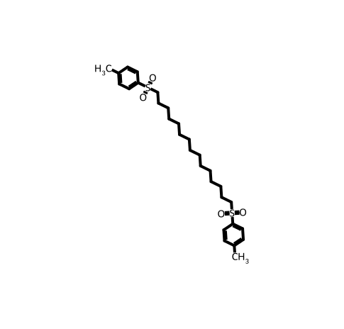 Cc1ccc(S(=O)(=O)CCCCCCCCCCCCCCCS(=O)(=O)c2ccc(C)cc2)cc1